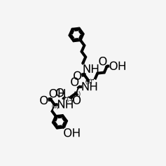 O=C(O)CCC[C@H](NC(=O)[C@H]1O[C@@H]1C(=O)N[C@@H](Cc1ccc(O)cc1)C(=O)O)C(=O)NCCCCc1ccccc1